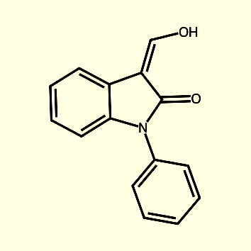 O=C1/C(=C\O)c2ccccc2N1c1ccccc1